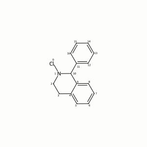 ClN1CCc2ccccc2C1c1ccccc1